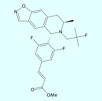 COC(=O)/C=C/c1cc(F)c([C@@H]2c3cc4cnoc4cc3C[C@@H](C)N2CC(C)(C)F)c(F)c1